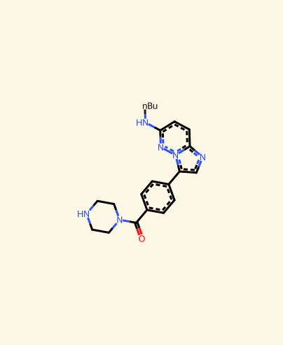 CCCCNc1ccc2ncc(-c3ccc(C(=O)N4CCNCC4)cc3)n2n1